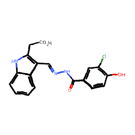 O=C(O)Cc1[nH]c2ccccc2c1C=NNC(=O)c1ccc(O)c(Cl)c1